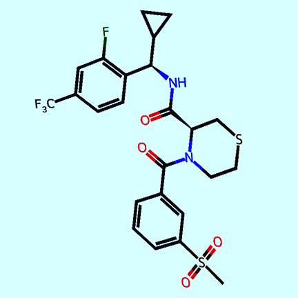 CS(=O)(=O)c1cccc(C(=O)N2CCSC[C@@H]2C(=O)N[C@@H](c2ccc(C(F)(F)F)cc2F)C2CC2)c1